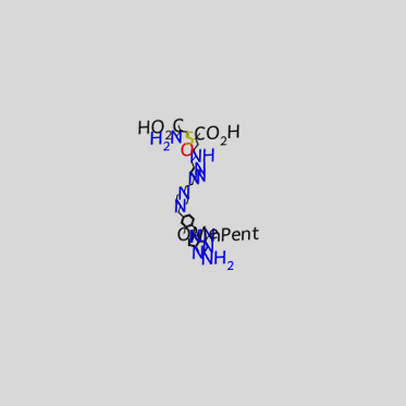 CCCCCNc1nc(N)nc2ccn(Cc3ccc(CN4CCN(CCn5cc(CNC(=O)CC(SCC(N)C(=O)O)C(=O)O)nn5)CC4)cc3OC)c12